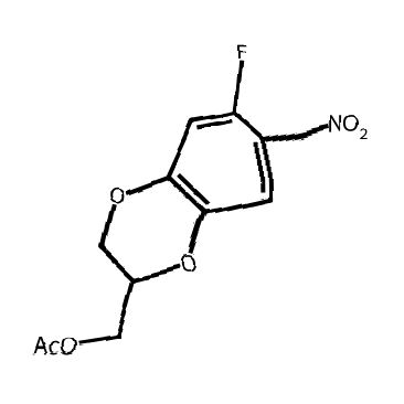 CC(=O)OCC1COc2cc(F)c([N+](=O)[O-])cc2O1